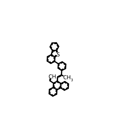 C=Cc1c(/C=C(\C)c2cccc(-c3cccc4c3sc3ccccc34)c2)c2ccccc2c2ccccc12